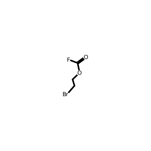 O=C(F)OCCBr